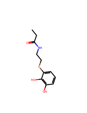 CCC(=O)NCCSc1cccc(O)c1O